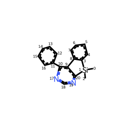 C[Si]1(C)c2ccccc2-c2c(-c3ccccc3)ncnc21